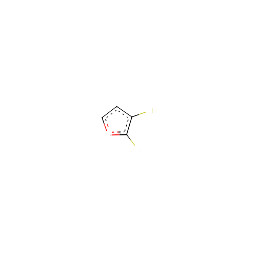 Sc1ccoc1S